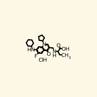 CCC(NCc1cn(C2CCCC2)c2cc(NC3CCCCC3)c(F)cc2c1=O)C(=O)O.Cl